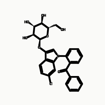 O=C(c1ccccc1)c1ccccc1-n1cc(O[C@@H]2O[C@@H](CO)[C@H](O)[C@@H](O)[C@@H]2O)c2ccc(Cl)cc21